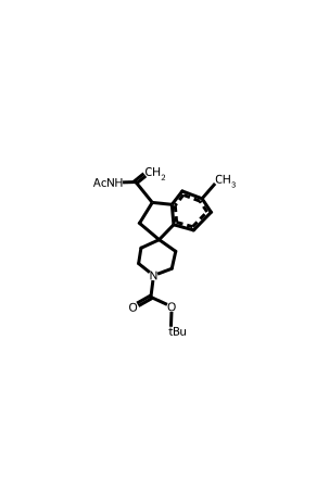 C=C(NC(C)=O)C1CC2(CCN(C(=O)OC(C)(C)C)CC2)c2ccc(C)cc21